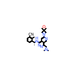 Cc1c(C#N)cccc1[C@@H](C)Nc1nnc(CN(C)C)c2cnc(N3CC4(COC4)C3)cc12